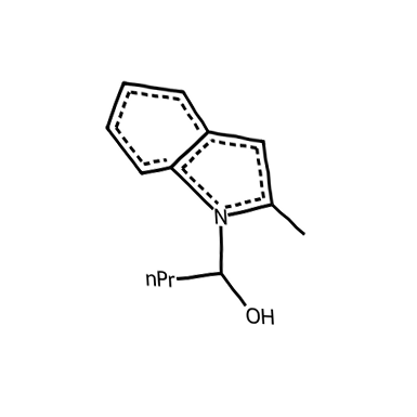 CCCC(O)n1c(C)cc2ccccc21